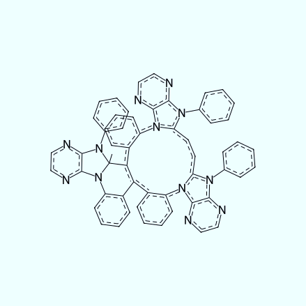 CC12c3c(c4ccccc4n4c5nccnc5n(-c5ccccc5)c4ccc4n(-c5ccccc5)c5nccnc5n4c4ccccc34)-c3ccccc3N1c1nccnc1N2c1ccccc1